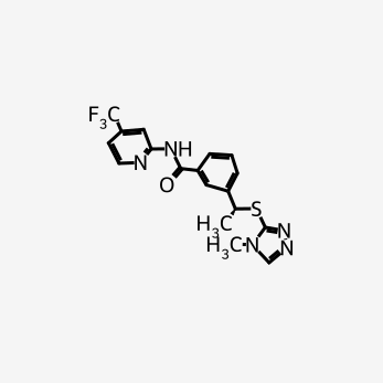 C[C@H](Sc1nncn1C)c1cccc(C(=O)Nc2cc(C(F)(F)F)ccn2)c1